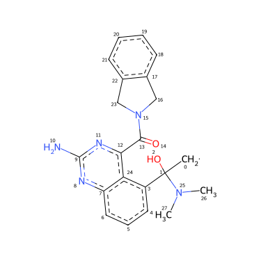 [CH2]C(O)(c1cccc2nc(N)nc(C(=O)N3Cc4ccccc4C3)c12)N(C)C